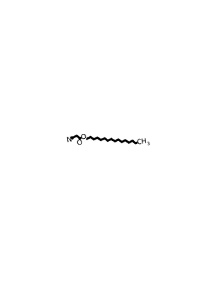 CCCCCCCCCCCCCCCCOC(=O)CC#N